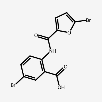 O=C(Nc1ccc(Br)cc1C(=O)O)c1ccc(Br)o1